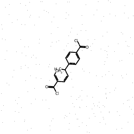 C/C=C(\C=C/C(C)c1ccc(C(=O)Cl)cc1)C(=O)Cl